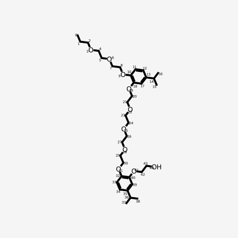 CCCOCCOCCOc1ccc(C(C)C)cc1OCCOCCOCCOCCOc1ccc(C(C)C)cc1OCCO